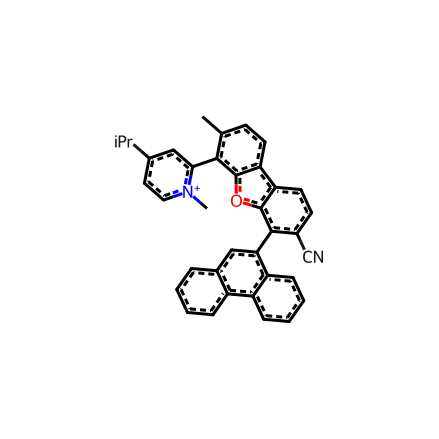 Cc1ccc2c(oc3c(-c4cc5ccccc5c5ccccc45)c(C#N)ccc32)c1-c1cc(C(C)C)cc[n+]1C